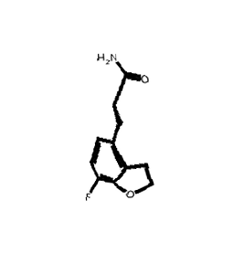 NC(=O)CCc1ccc(F)c2c1CCO2